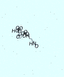 COP(=O)(O)OC[C@H]1OCCC1OP(=O)(O)OCCCCCCNC=O